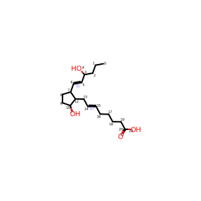 CCCC(O)/C=C/C1CCC(O)C1C/C=C/CCCCC(=O)O